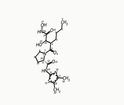 CCCCC(C(=O)N1CCC[C@H]1C(=O)Nc1nc(C)c(C)s1)C(O)C(=O)NO